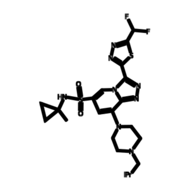 CC(C)CN1CCN(c2cc(S(=O)(=O)NC3(C)CC3)cn3c(-c4nnc(C(F)F)s4)nnc23)CC1